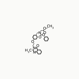 CCOC(=O)CN(Cc1ccc(OCCn2c(C)nc3ccccc3c2=O)cc1)C(=O)Oc1ccccc1